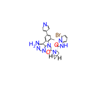 Cc1cc(-c2ccncc2)cc2c3c(N)ncnc3n(CC(=O)N3[C@@H]4C[C@@H]4C[C@H]3C(=O)Nc3cccc(Br)n3)c12